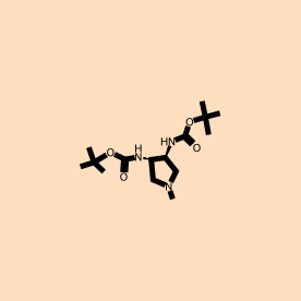 CN1C[C@H](NC(=O)OC(C)(C)C)[C@@H](NC(=O)OC(C)(C)C)C1